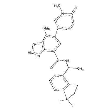 COc1c(-c2ccc(=O)n(C)c2)cc(C(=O)NC(C)c2cccc3c2CCC3(F)F)c2n[nH]cc12